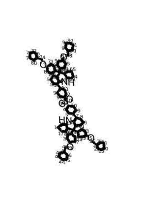 O=S(=O)(c1ccc(-c2cccc3c2Nc2ccccc2C3(c2ccc(OCc3ccccc3)cc2)c2ccc(OCc3ccccc3)cc2)cc1)c1ccc(-c2cccc3c2Nc2ccccc2C3(c2ccc(OCc3ccccc3)cc2)c2ccc(OCc3ccccc3)cc2)cc1